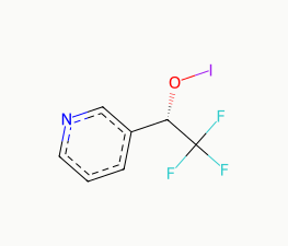 FC(F)(F)[C@@H](OI)c1cccnc1